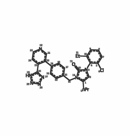 CCCc1cn(-c2c(Cl)cccc2CC)c(=O)n1Cc1ccc(-c2cnccc2-c2nnn[nH]2)cc1